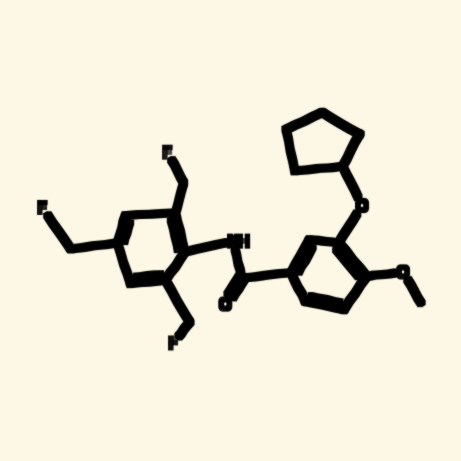 COc1ccc(C(=O)Nc2c(CF)cc(CF)cc2CF)cc1OC1CCCC1